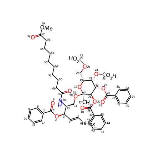 CCCCCC/C=C/[C@@H](OC(=O)c1ccccc1)[C@H](CO[C@@]1(C)O[C@H](COC(=O)O)[C@H](OC(=O)O)[C@H](OC(=O)c2ccccc2)[C@H]1OC(=O)c1ccccc1)NC(=O)CCCCCCCCC(=O)OC